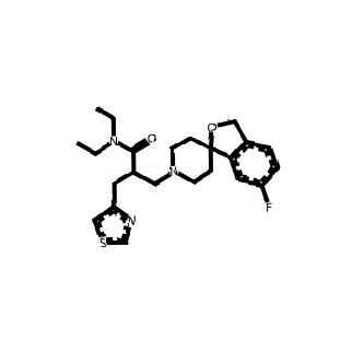 CCN(CC)C(=O)C(Cc1cscn1)CN1CCC2(CC1)OCc1ccc(F)cc12